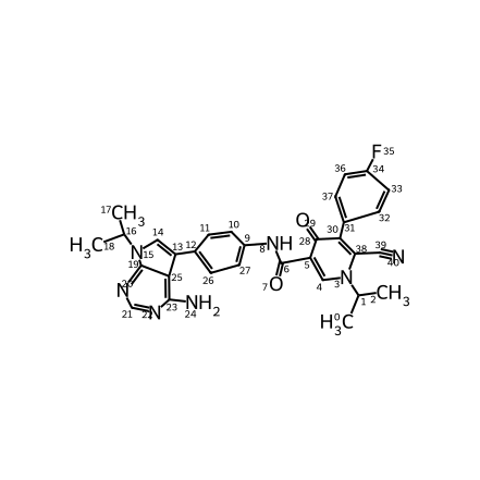 CC(C)n1cc(C(=O)Nc2ccc(-c3cn(C(C)C)c4ncnc(N)c34)cc2)c(=O)c(-c2ccc(F)cc2)c1C#N